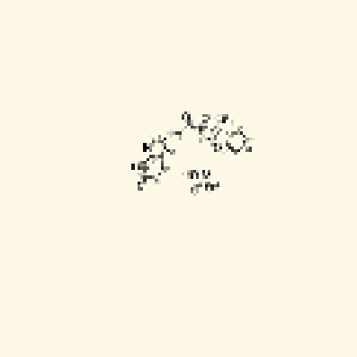 Cc1c(CN(C)C(=O)C=Cc2cnc3c(c2)CCC(=O)N3)oc2ccccc12.O=S(=O)(O)O